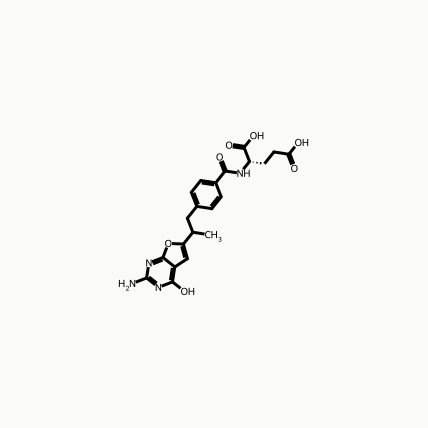 CC(Cc1ccc(C(=O)N[C@@H](CCC(=O)O)C(=O)O)cc1)c1cc2c(O)nc(N)nc2o1